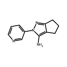 Nc1c2c(nn1-c1cccnc1)CCC2